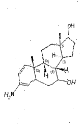 C[C@]12C=CC(N)=CC1CC(O)[C@@H]1[C@H]2CC[C@]2(C)C(O)CC[C@@H]12